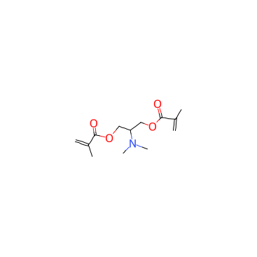 C=C(C)C(=O)OCC(COC(=O)C(=C)C)N(C)C